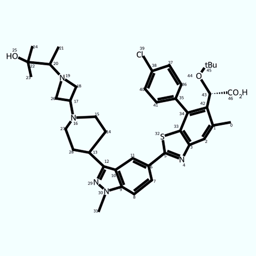 Cc1cc2nc(-c3ccc4c(c3)c(C3CCN(C5CN(C(C)C(C)(C)O)C5)CC3)nn4C)sc2c(-c2ccc(Cl)cc2)c1[C@H](OC(C)(C)C)C(=O)O